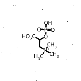 C[N+](C)(C)CC(OP(=O)([O-])O)C(=O)O